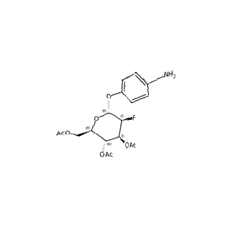 CC(=O)OC[C@H]1O[C@H](Oc2ccc(N)cc2)[C@@H](F)[C@@H](OC(C)=O)[C@@H]1OC(C)=O